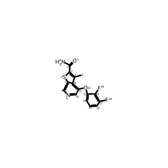 Cc1c(C(N)=O)sc2cncc(Oc3cccc(F)c3F)c12